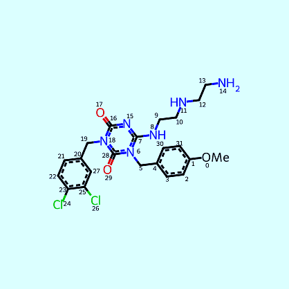 COc1ccc(Cn2c(NCCNCCN)nc(=O)n(Cc3ccc(Cl)c(Cl)c3)c2=O)cc1